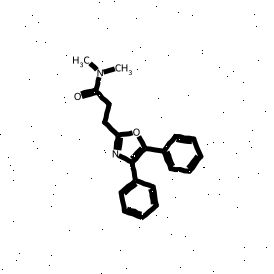 CN(C)C(=O)CCc1nc(-c2ccccc2)c(-c2ccccc2)o1